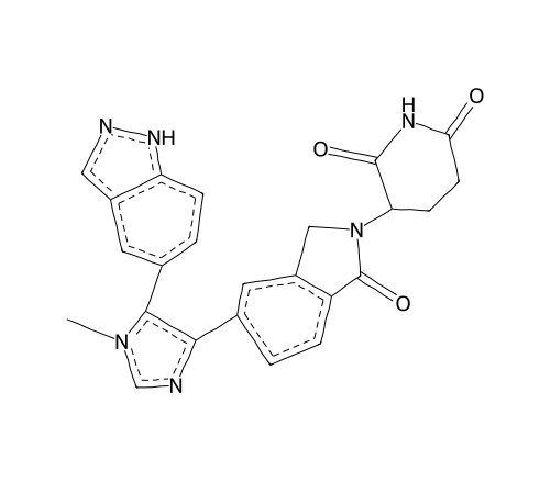 Cn1cnc(-c2ccc3c(c2)CN(C2CCC(=O)NC2=O)C3=O)c1-c1ccc2[nH]ncc2c1